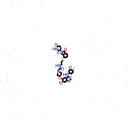 COc1cc2ncnc(Nc3ccc(F)c(Cl)c3)c2cc1OC1CCN(CC(=O)NCCCSc2cccc3c2CN(C2CCC(=O)NC2=O)C3=O)CC1